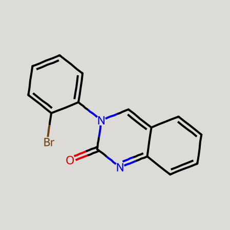 O=c1nc2ccccc2cn1-c1ccccc1Br